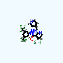 Cl.O=C(Nc1cc(C(F)(F)F)cc(C(F)(F)F)c1)c1cccnc1NCc1ccncc1